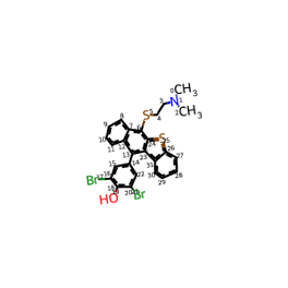 CN(C)CCSc1c2ccccc2c(-c2cc(Br)c(O)c(Br)c2)c2c1sc1ccccc12